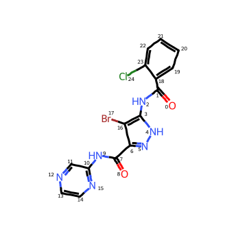 O=C(Nc1[nH]nc(C(=O)Nc2cnccn2)c1Br)c1ccccc1Cl